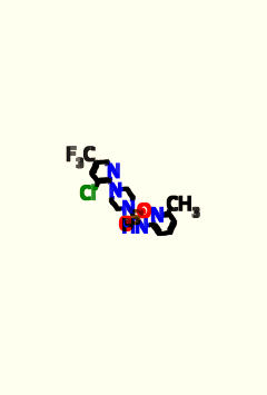 Cc1cccc(NS(=O)(=O)N2CCN(c3ncc(C(F)(F)F)cc3Cl)CC2)n1